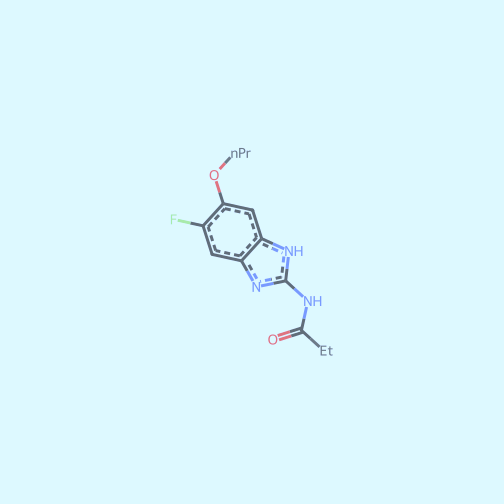 CCCOc1cc2[nH]c(NC(=O)CC)nc2cc1F